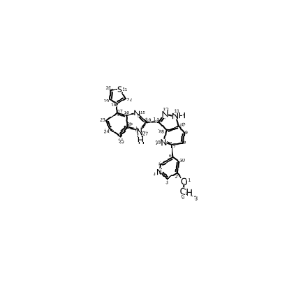 COc1cncc(-c2ccc3[nH]nc(-c4nc5c(-c6ccsc6)cccc5[nH]4)c3n2)c1